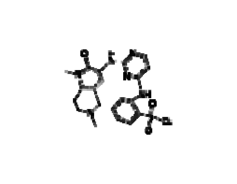 CCS(=O)(=O)c1ccccc1Nc1ccnc(Nc2cc3c(n(C)c2=O)CCN(C)C3)n1